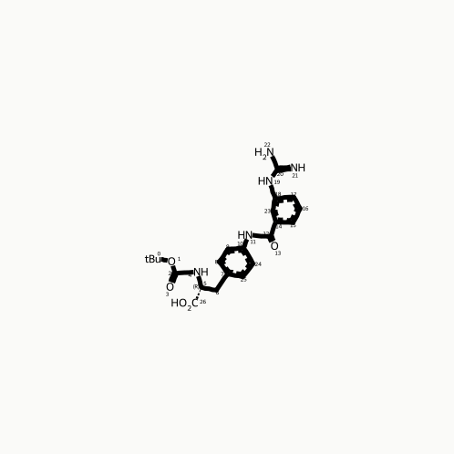 CC(C)(C)OC(=O)N[C@H](Cc1ccc(NC(=O)c2cccc(NC(=N)N)c2)cc1)C(=O)O